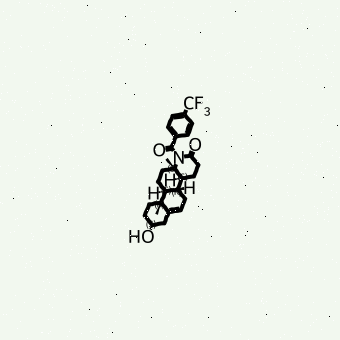 C[C@]12CC[C@H](O)CC1=CC[C@@H]1[C@@H]2CC[C@@]2(C)[C@H]1CCC(=O)N2C(=O)c1ccc(C(F)(F)F)cc1